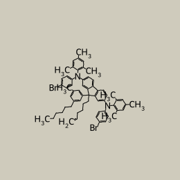 C=CCCCCC1(c2cc(C)cc(CCCCCC)c2)c2cc(N(c3ccc(Br)cc3)c3c(C)cc(C)cc3C)ccc2-c2ccc(N(c3ccc(Br)cc3)c3c(C)cc(C)cc3C)cc21